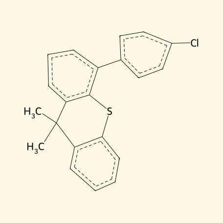 CC1(C)c2ccccc2Sc2c(-c3ccc(Cl)cc3)cccc21